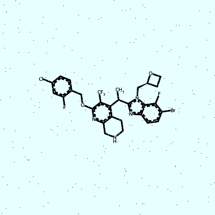 CC(c1c2c(nc(OCc3ccc(Cl)cc3F)c1C(F)(F)F)CNCC2)c1nc2ccc(Br)c(F)c2n1C[C@@H]1CCO1